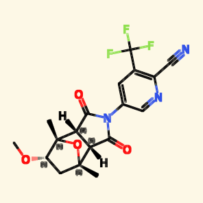 CO[C@H]1C[C@]2(C)O[C@@]1(C)[C@@H]1C(=O)N(c3cnc(C#N)c(C(F)(F)F)c3)C(=O)[C@@H]12